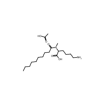 CC(=O)O.CCCCCCCCCC(=O)N(C)C(CCCCN)C(=O)O